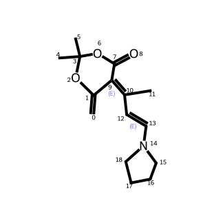 C=C1OC(C)(C)OC(=O)/C1=C(C)/C=C/N1CCCC1